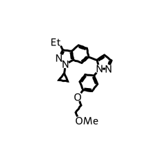 CCc1nn(C2CC2)c2cc(-c3ccnn3-c3ccc(OCCOC)cc3)ccc12